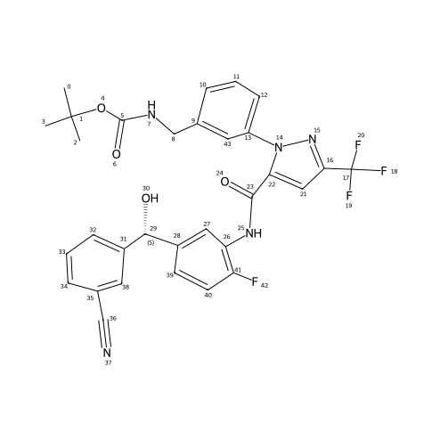 CC(C)(C)OC(=O)NCc1cccc(-n2nc(C(F)(F)F)cc2C(=O)Nc2cc([C@@H](O)c3cccc(C#N)c3)ccc2F)c1